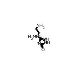 NCCN(N)c1nc(=O)[nH][nH]1